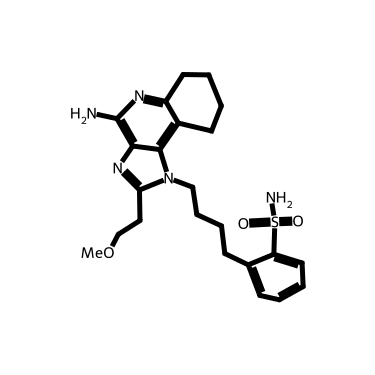 COCCc1nc2c(N)nc3c(c2n1CCCCc1ccccc1S(N)(=O)=O)CCCC3